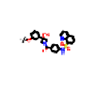 O=C(c1ccc(NS(=O)(=O)c2cccc3cccnc23)cc1)N1CC(O)(c2cccc(OC(F)(F)F)c2)C1